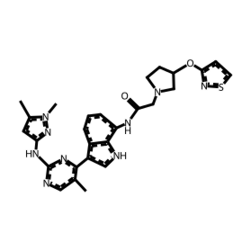 Cc1cnc(Nc2cc(C)n(C)n2)nc1-c1c[nH]c2c(NC(=O)CN3CCC(Oc4ccsn4)C3)cccc12